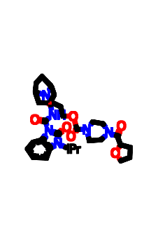 CC(C)n1c(=O)n(C(=O)NC2CC3CCC(C2)N3CCCOC(=O)N2CCN(C(=O)C3CCCO3)CC2)c2ccccc21